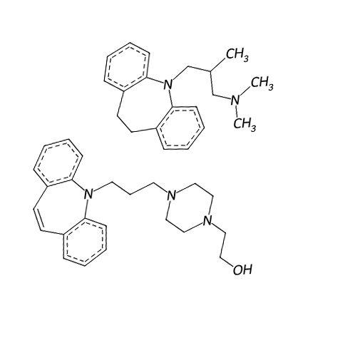 CC(CN(C)C)CN1c2ccccc2CCc2ccccc21.OCCN1CCN(CCCN2c3ccccc3C=Cc3ccccc32)CC1